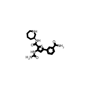 NC(=O)Nc1cc(-c2cccc(C(N)=O)c2)sc1C(=O)N[C@H]1CCCCNC1